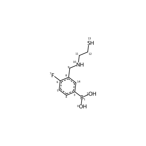 OB(O)c1ccc(F)c(CNCCS)c1